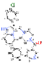 O=C(c1cccnc1)N1CCN(CC2=C(c3ccc(Cl)cc3)NC3C=CC(c4ccccc4)=CN23)CC1